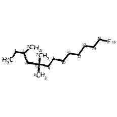 CCC(C)CC(C)(C)CCCCCCCCF